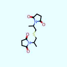 CC(CSCC(C)N1C(=O)CCC1=O)N1C(=O)CCC1=O